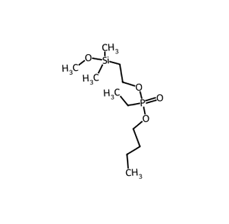 CCCCOP(=O)(CC)OCC[Si](C)(C)OC